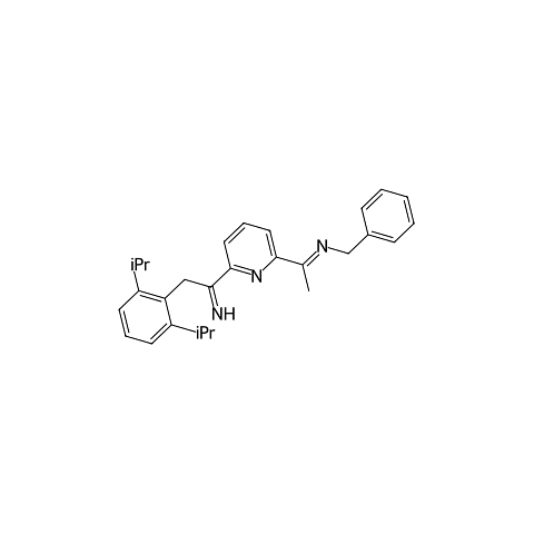 C/C(=N\Cc1ccccc1)c1cccc(C(=N)Cc2c(C(C)C)cccc2C(C)C)n1